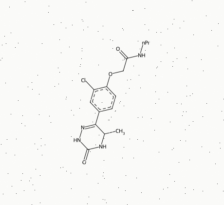 CCCNC(=O)COc1ccc(C2=NNC(=O)NC2C)cc1Cl